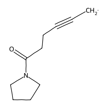 [CH2]C#CCCC(=O)N1CCCC1